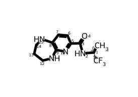 C[C@@H](NC(=O)c1ccc2c(n1)NCCCN2)C(F)(F)F